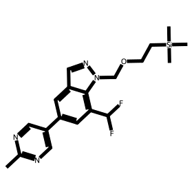 Cc1ncc(-c2cc(C(F)F)c3c(cnn3COCC[Si](C)(C)C)c2)cn1